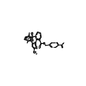 C=C(C)C1CC=C(COC(=O)c2cccc(S(N)(=O)=O)c2-n2nc(C(F)(F)F)cc2-c2cc(C)ccc2C)CC1